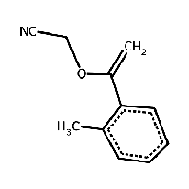 C=C(OCC#N)c1ccccc1C